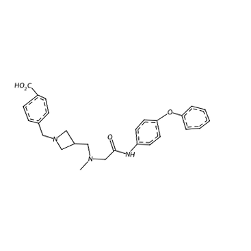 CN(CC(=O)Nc1ccc(Oc2ccccc2)cc1)CC1CN(Cc2ccc(C(=O)O)cc2)C1